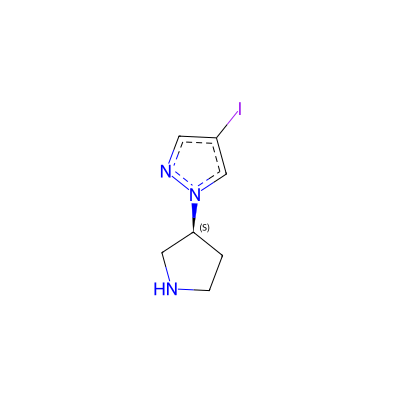 Ic1cnn([C@H]2CCNC2)c1